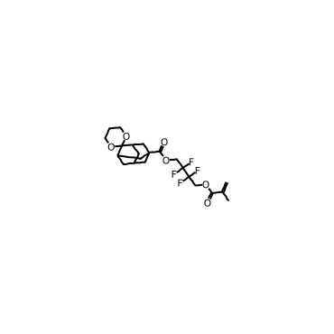 C=C(C)C(=O)OCC(F)(F)C(F)(F)COC(=O)C12CC3CC(C1)C1(OCCCO1)C(C3)C2